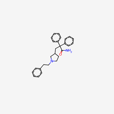 NC(=O)C(CC1CCN(CCc2ccccc2)C1)(c1ccccc1)c1ccccc1